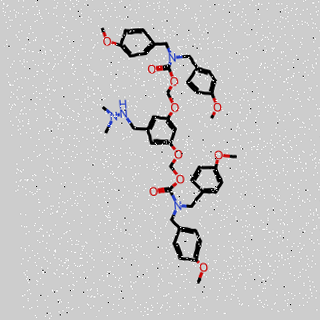 COc1ccc(CN(Cc2ccc(OC)cc2)C(=O)OCOc2cc(CNN(C)C)cc(OCOC(=O)N(Cc3ccc(OC)cc3)Cc3ccc(OC)cc3)c2)cc1